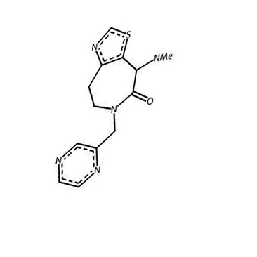 CNC1C(=O)N(Cc2cnccn2)CCc2ncsc21